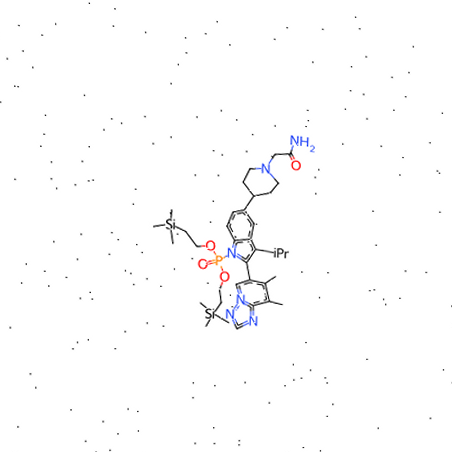 Cc1c(-c2c(C(C)C)c3cc(C4CCN(CC(N)=O)CC4)ccc3n2P(=O)(OCC[Si](C)(C)C)OCC[Si](C)(C)C)cn2ncnc2c1C